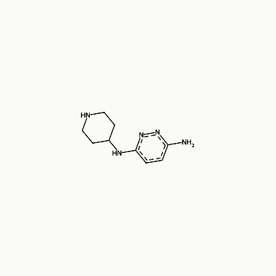 Nc1ccc(NC2CCNCC2)nn1